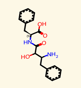 NC(Cc1ccccc1)C(O)C(=O)N[C@@H](Cc1ccccc1)C(=O)O